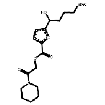 CCCCCCCCCCCCCC(O)c1ccc(C(=O)OCC(=O)N2CCCCC2)o1